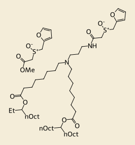 CCCCCCCCC(CC)OC(=O)CCCCCCCN(CCCCCCCC(=O)OC(CCCCCCCC)CCCCCCCC)CCCNC(=O)C[S+]([O-])Cc1ccco1.COC(=O)C[S+]([O-])Cc1ccco1